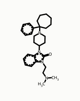 CN(C)CCn1c(=O)n(C2CCN(C3(c4ccccc4)CCCCCC3)CC2)c2ccccc21